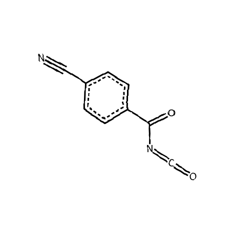 N#Cc1ccc(C(=O)N=C=O)cc1